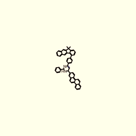 CC1(C)c2cc3ccccc3cc2-c2c(-c3ccc(/C=C/C(NC(N)c4ccccc4)c4ccc5c(ccc6c7ccccc7ccc56)c4)cc3)cccc21